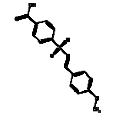 COc1ccc(C=NS(=O)(=O)c2ccc(C(=O)O)cc2)cc1